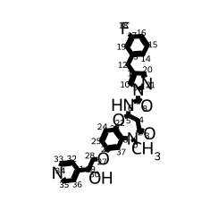 CN1C(=O)CC(NC(=O)n2cc(Cc3cccc(F)c3)cn2)Oc2ccc(OCC(O)c3ccncc3)cc21